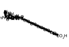 CCCN(OCc1ccn[nH]1)C(=O)C1=Cc2ccc(-c3cnc(CNC(=O)CCOCCOCCOCCOCCOCCOCCOCCOCCOCCOCCC(=O)O)nc3)cc2N=C(N)C1